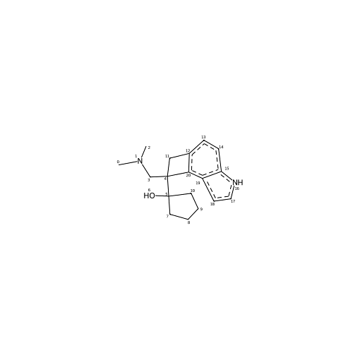 CN(C)CC1(C2(O)CCCC2)Cc2ccc3[nH]ccc3c21